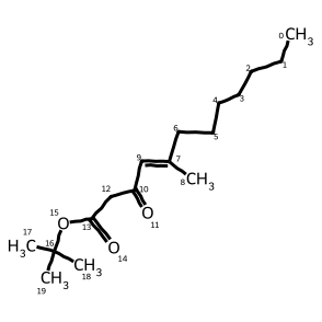 CCCCCCC/C(C)=C/C(=O)CC(=O)OC(C)(C)C